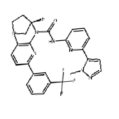 Cn1nccc1-c1cccc(NC(=O)N2c3nc(-c4cccc(C(F)(F)F)c4)ccc3N3CC[C@H]2C3)n1